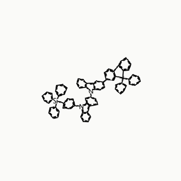 c1ccc(C2(c3ccccc3)c3ccccc3-c3ccc(-c4ccc5c(c4)c4ccccc4n5-c4ccc5c6ccccc6n(-c6ccc([Si](c7ccccc7)(c7ccccc7)c7ccccc7)cc6)c5c4)cc32)cc1